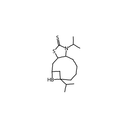 CC(C)N1C(=S)SC2CC3BC(C(C)C)(CCCCC21)C3